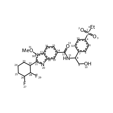 CCS(=O)(=O)c1ccc(C(CO)NC(=O)c2ccc3c(c2)nc(C2CCCC(F)C2F)n3OC)cc1